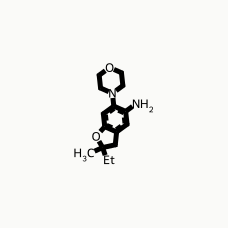 CCC1(C)Cc2cc(N)c(N3CCOCC3)cc2O1